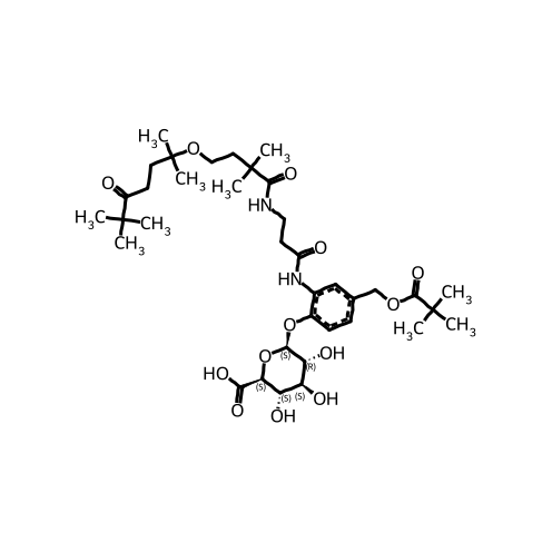 CC(C)(CCC(=O)C(C)(C)C)OCCC(C)(C)C(=O)NCCC(=O)Nc1cc(COC(=O)C(C)(C)C)ccc1O[C@@H]1O[C@H](C(=O)O)[C@@H](O)[C@H](O)[C@H]1O